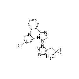 CC1(Cc2cnnn2N2C=NC3c4ccccc4N4CN(Cl)C=C4N32)CC1